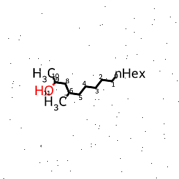 CCCCCCCCCCCC(C)CC(C)O